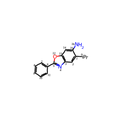 CC(C)c1cc2nc(-c3ccccc3)oc2cc1N